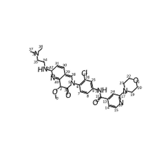 COC1C(=O)N(c2ccc(NC(=O)c3ccnc(N4CCOCC4)c3)cc2Cl)C=C2C=CC(NCCN(C)C)N=C21